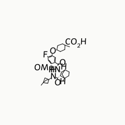 COc1cc(F)c(O[C@H]2CC[C@@](C)(C(=O)O)CC2)cc1C(=O)N[C@@H]1[C@@H]2CC[C@@H](C2)[C@@H]1C(=O)NC12CC(C)(C1)C2